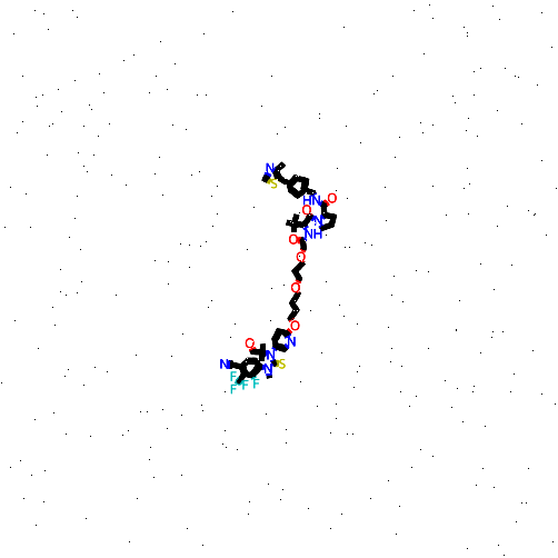 Cc1ncsc1-c1ccc(CNC(=O)C2CCCN2C(=O)C(NC(=O)COCCCOCCCCOc2ccc(N(C(=S)N(C)c3ccc(C#N)c(C(F)(F)F)c3F)C(C)(C)C=O)cn2)C(C)(C)C)cc1